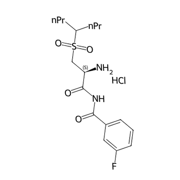 CCCC(CCC)S(=O)(=O)C[C@@H](N)C(=O)NC(=O)c1cccc(F)c1.Cl